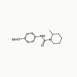 COc1ccc(NC(=O)N2CCCCC2C)cc1